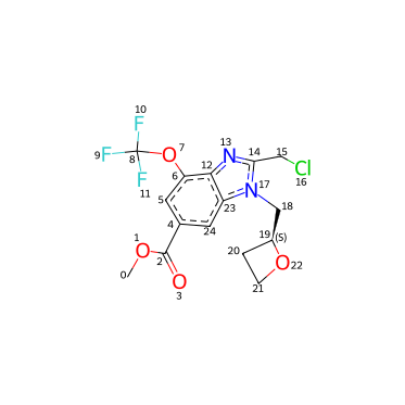 COC(=O)c1cc(OC(F)(F)F)c2nc(CCl)n(C[C@@H]3CCO3)c2c1